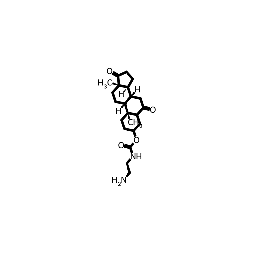 C[C@]12CCC(OC(=O)NCCN)CC1C(=O)C[C@@H]1[C@H]2CC[C@]2(C)C(=O)CC[C@@H]12